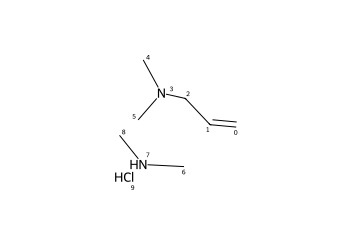 C=CCN(C)C.CNC.Cl